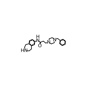 O=C(CCN1CCN(Cc2ccccc2)CC1)Nc1ccc2c(c1)CCNCC2